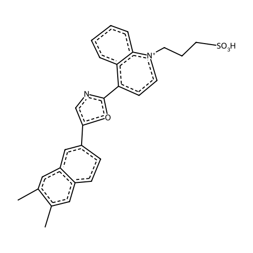 Cc1cc2ccc(-c3cnc(-c4cc[n+](CCCS(=O)(=O)O)c5ccccc45)o3)cc2cc1C